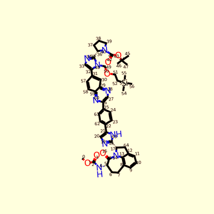 COC(=O)N[C@H]1CCc2cccc3c2N(C1=O)[C@H](c1ncc(-c2ccc(-c4cnc5cc(-c6cnc([C@@H]7CCCN7C(=O)OC(C)(C)C)n6COCC[Si](C)(C)C)ccc5n4)cc2)[nH]1)C3